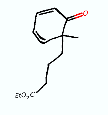 CCOC(=O)CCCC1(C)C=CC=CC1=O